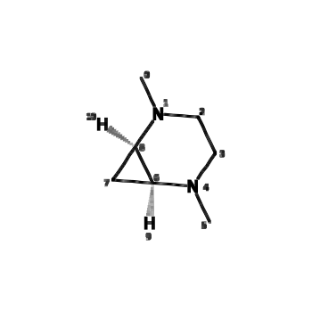 CN1CCN(C)[C@H]2C[C@H]21